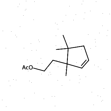 CC(=O)OCCC1(C)C=CCC1(C)C